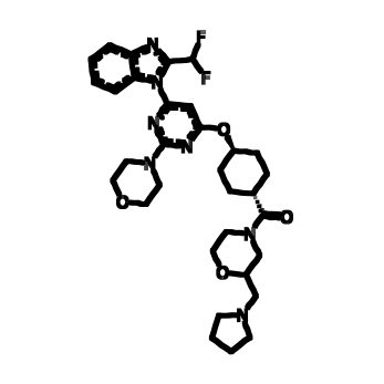 O=C([C@H]1CC[C@H](Oc2cc(-n3c(C(F)F)nc4ccccc43)nc(N3CCOCC3)n2)CC1)N1CCOC(CN2CCCC2)C1